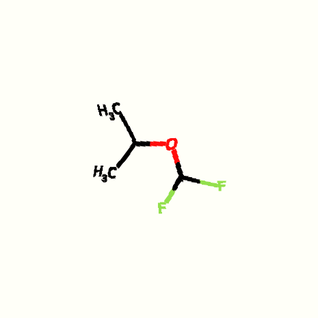 CC(C)O[C](F)F